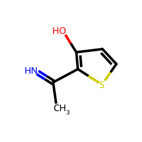 CC(=N)c1sccc1O